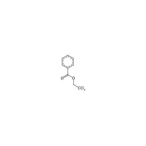 O=C(OCC(Cl)(Cl)Cl)c1ccccc1